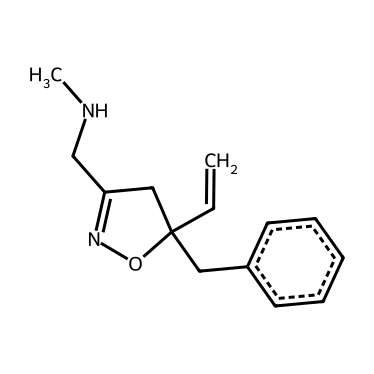 C=CC1(Cc2ccccc2)CC(CNC)=NO1